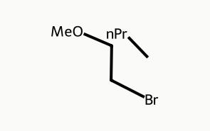 CCCC.COCCBr